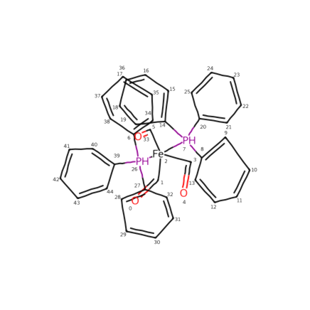 O=[CH][Fe]([CH]=O)([CH]=O)([PH](c1ccccc1)(c1ccccc1)c1ccccc1)[PH](c1ccccc1)(c1ccccc1)c1ccccc1